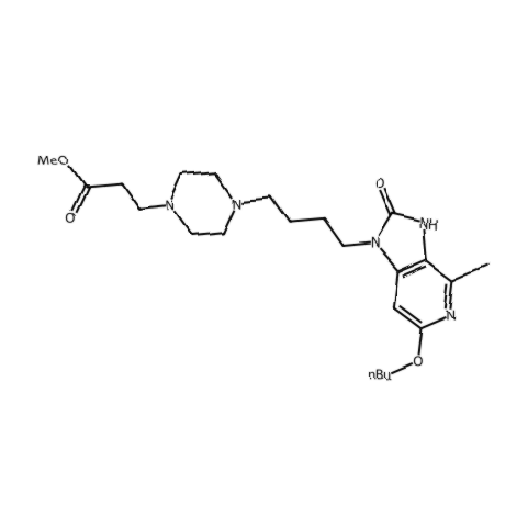 CCCCOc1cc2c([nH]c(=O)n2CCCCN2CCN(CCC(=O)OC)CC2)c(C)n1